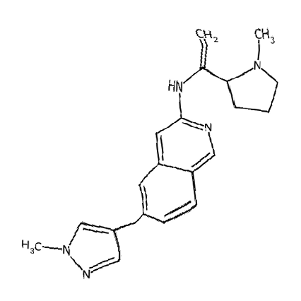 C=C(Nc1cc2cc(-c3cnn(C)c3)ccc2cn1)C1CCCN1C